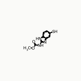 COC(=O)Nc1nc2cc(S)ccc2[nH]1